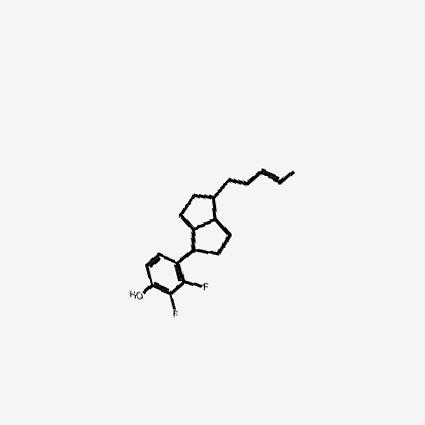 C/C=C/CCC1CCC2C(c3ccc(O)c(F)c3F)CCC12